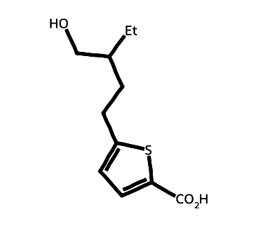 CCC(CO)CCc1ccc(C(=O)O)s1